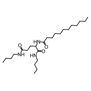 CCCCCCCCCCCC(=O)NC(CCC(=O)NCCCC)C(=O)NCCCC